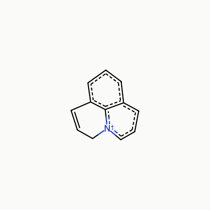 C1=Cc2cccc3ccc[n+](c23)C1